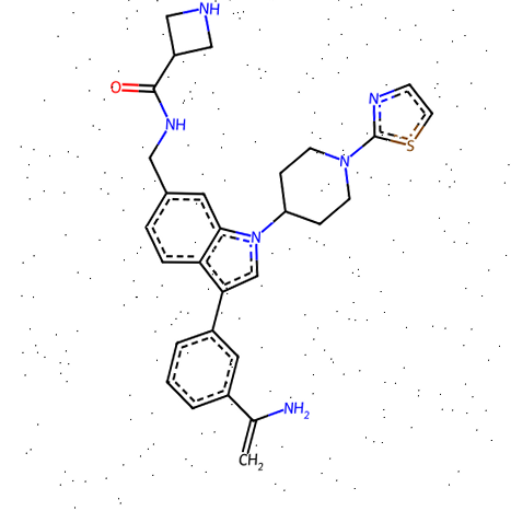 C=C(N)c1cccc(-c2cn(C3CCN(c4nccs4)CC3)c3cc(CNC(=O)C4CNC4)ccc23)c1